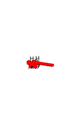 CCCCCCCCCCCCCCCC(=O)N/C1=C/N(C(=O)[C@@H](C)NC)CC[C@]2(C(=O)NC(c3ccccc3)c3ccccc3)CCCN2C1=O